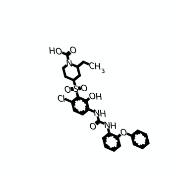 CCC1CC(S(=O)(=O)c2c(Cl)ccc(NC(=O)Nc3ccccc3Oc3ccccc3)c2O)CCN1C(=O)O